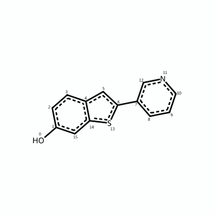 Oc1ccc2cc(-c3cccnc3)sc2c1